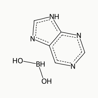 OBO.c1ncc2nc[nH]c2n1